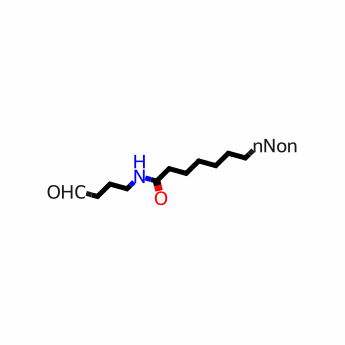 CCCCCCCCCCCCCCCC(=O)NCCCC=O